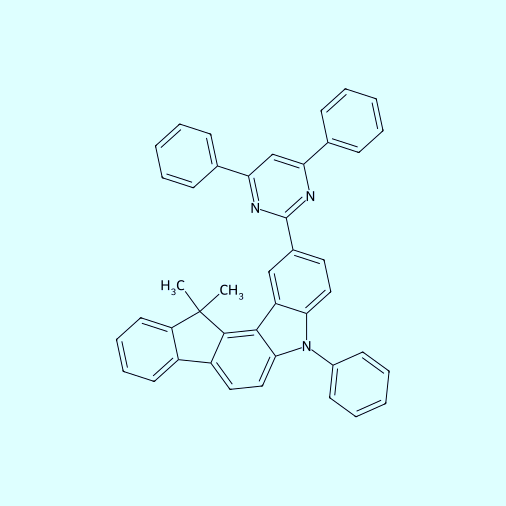 CC1(C)c2ccccc2-c2ccc3c(c21)c1cc(-c2nc(-c4ccccc4)cc(-c4ccccc4)n2)ccc1n3-c1ccccc1